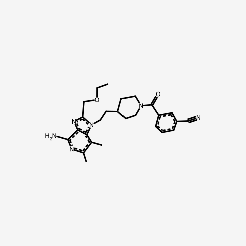 CCOCc1nc2c(N)nc(C)c(C)c2n1CCC1CCN(C(=O)c2cccc(C#N)c2)CC1